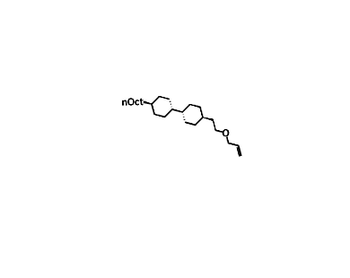 C=CCOCC[C@H]1CC[C@H]([C@H]2CC[C@H](CCCCCCCC)CC2)CC1